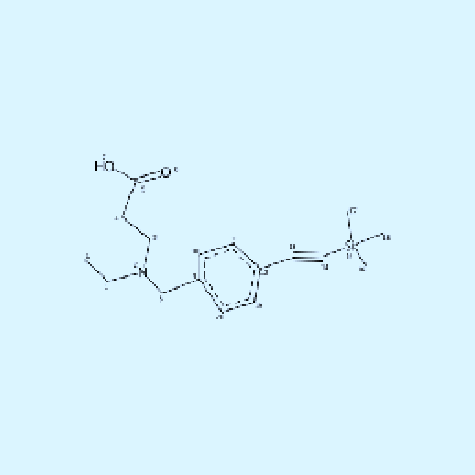 CCN(CCC(=O)O)Cc1ccc(C#C[Si](C)(C)C)cc1